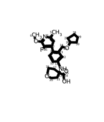 COc1nc(C)cc(-c2ccc(NC3(C(=O)O)CCOCC3)cc2COC2CCCC2)c1F